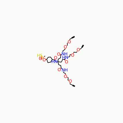 C#CCOCCOCCNC(=O)CCC(CCC(=O)NCCOCCOCC#C)(CCC(=O)NCCOCCOCC#C)NC(=O)C1CCC(OP(C)(=O)S)CC1